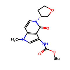 Cn1cc(NC(=O)OC(C)(C)C)c2c(=O)n([C@@H]3CCOC3)ccc21